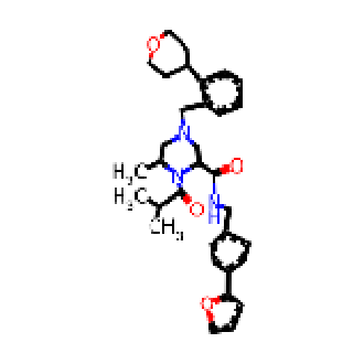 CC(C)C(=O)N1C(C)CN(Cc2ccccc2C2CCOCC2)CC1C(=O)NCc1ccc(-c2ccco2)cc1